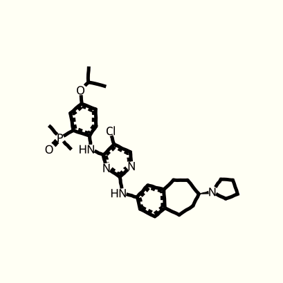 CC(C)Oc1ccc(Nc2nc(Nc3ccc4c(c3)CC[C@@H](N3CCCC3)CC4)ncc2Cl)c(P(C)(C)=O)c1